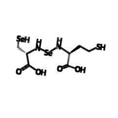 O=C(O)[C@H](C[SeH])N[Se]N[C@@H](CCS)C(=O)O